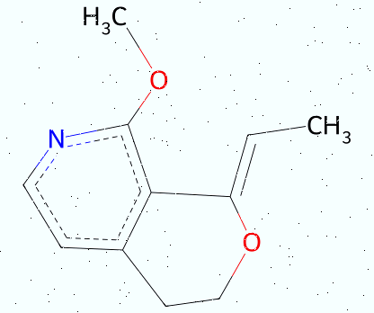 CC=C1OCCc2ccnc(OC)c21